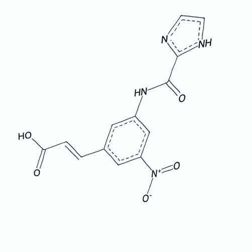 O=C(O)C=Cc1cc(NC(=O)c2ncc[nH]2)cc([N+](=O)[O-])c1